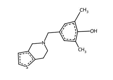 Cc1cc(CN2CCc3sccc3C2)cc(C)c1O